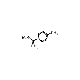 C=C(NC)c1ccc(C)cc1